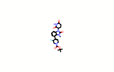 Cn1c(=O)n(C2CCC(=O)NC2=O)c2cccc(C3=CCN(C(=O)OC(C)(C)C)CC3F)c21